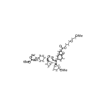 COCCOCCCOC(=O)c1cc2cc(NC(=O)[C@@H]3[C@H](C4CCC(OC)CC4)CCN3C(=O)[C@H]3CC[C@H]([C@@H](CF)NC(=O)OC(C)(C)C)CC3)ccc2o1